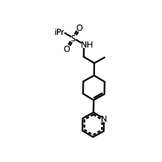 CC(CNS(=O)(=O)C(C)C)C1CC=C(c2ccccn2)CC1